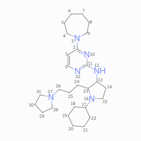 c1cc(N2CCCCCC2)nc(NC2CCN(C3CCCCC3)C2CCCN2CCCC2)n1